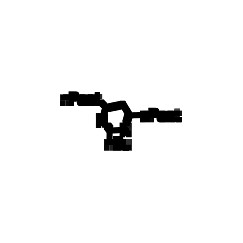 [CH2]CCCc1nc(CCCCC)cc(CCCCC)n1